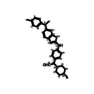 Cc1ccc(N(C)c2ccc3nc(Nc4ccc(C(C=O)N5CCN(C)CC5)cn4)sc3n2)cc1